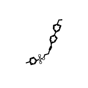 CCc1ccc(-c2ccc(C#CCCOS(=O)(=O)c3ccc(C)cc3)cc2)cc1